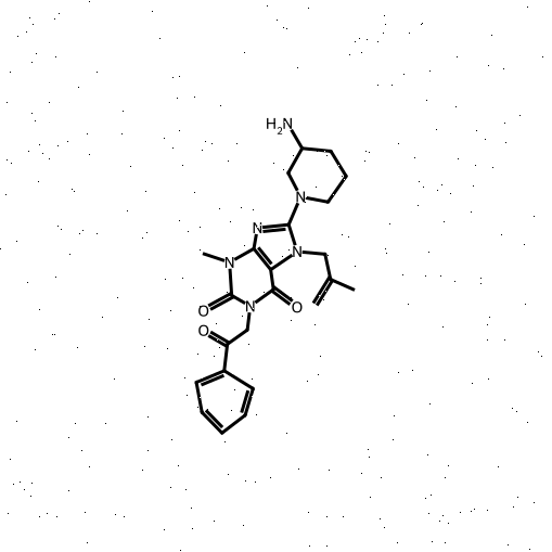 C=C(C)Cn1c(N2CCCC(N)C2)nc2c1c(=O)n(CC(=O)c1ccccc1)c(=O)n2C